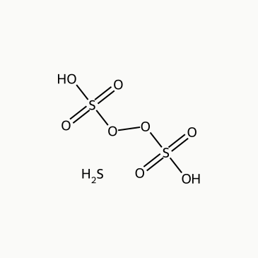 O=S(=O)(O)OOS(=O)(=O)O.S